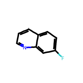 Fc1ccc2[c]ccnc2c1